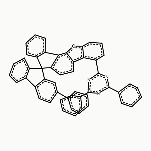 c1ccc(-c2ccc3c(c2)C2(c4ccccc4-3)c3ccccc3-c3c2ccc2c3oc3cccc(-c4nc(-c5ccccc5)nc(-c5ccccc5)n4)c32)cc1